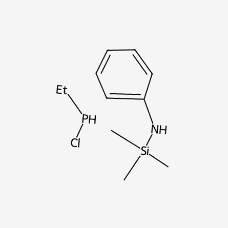 CCPCl.C[Si](C)(C)Nc1ccccc1